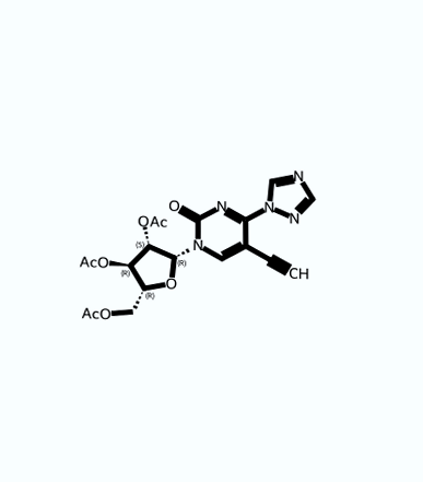 C#Cc1cn([C@@H]2O[C@H](COC(C)=O)[C@@H](OC(C)=O)[C@@H]2OC(C)=O)c(=O)nc1-n1cncn1